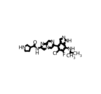 CC(C)Nc1c(F)c(Cl)c(-c2cn3cc(NC(=O)C4CCNC4)nc3cn2)c2cn[nH]c12